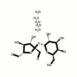 O.O.O.O.O.OC[C@H]1O[C@H](O[C@]2(CCl)O[C@H](CCl)[C@@H](O)[C@@H]2O)[C@H](O)[C@@H](O)[C@H]1Cl